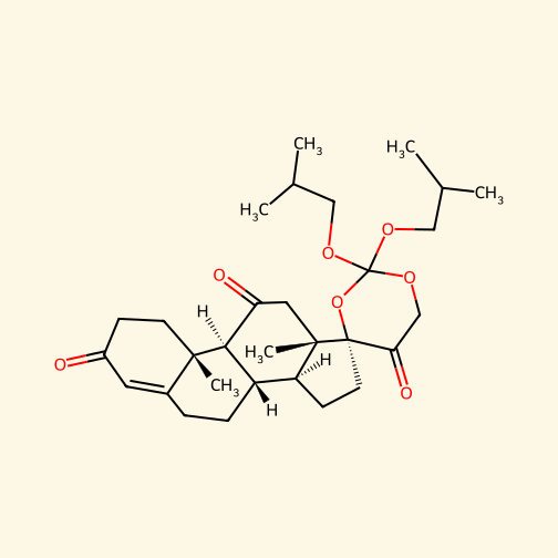 CC(C)COC1(OCC(C)C)OCC(=O)[C@]2(CC[C@H]3[C@@H]4CCC5=CC(=O)CC[C@]5(C)[C@H]4C(=O)C[C@@]32C)O1